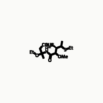 CCOC(C)(CC(=O)O)NC(=O)C(OC)[C@@H](N)C(C)SCC